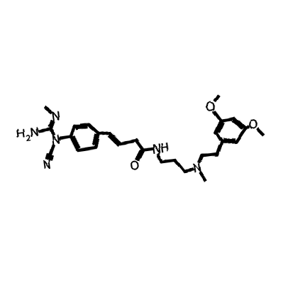 CN=C(N)N(C#N)c1ccc(/C=C/CC(=O)NCCCN(C)CCc2cc(OC)cc(OC)c2)cc1